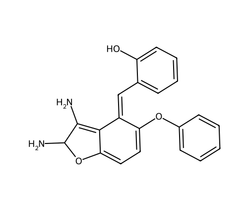 NC1=c2c(ccc(Oc3ccccc3)c2=Cc2ccccc2O)OC1N